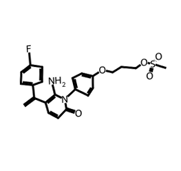 C=C(c1ccc(F)cc1)c1ccc(=O)n(-c2ccc(OCCCOS(C)(=O)=O)cc2)c1N